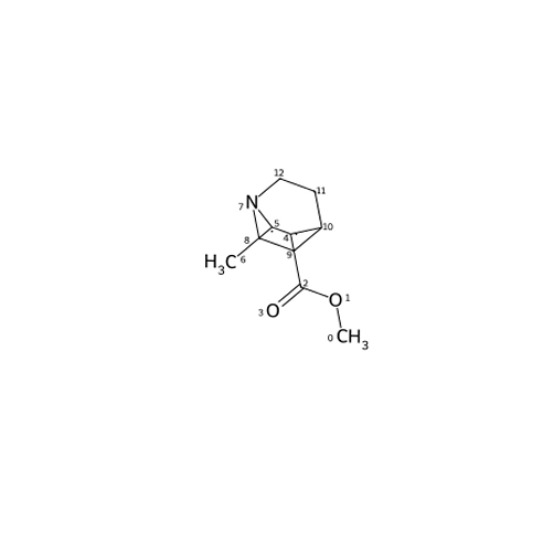 COC(=O)[C]1[C](C)N2CCC1CC2